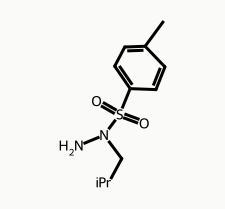 Cc1ccc(S(=O)(=O)N(N)CC(C)C)cc1